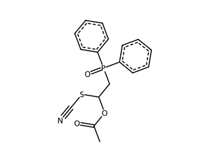 CC(=O)OC(CP(=O)(c1ccccc1)c1ccccc1)SC#N